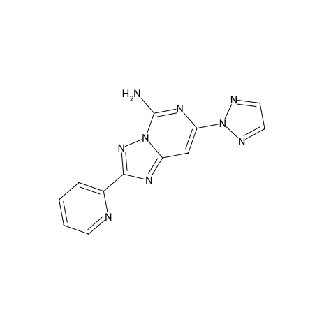 Nc1nc(-n2nccn2)cc2nc(-c3ccccn3)nn12